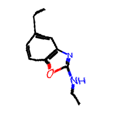 CCNc1nc2cc(CC)ccc2o1